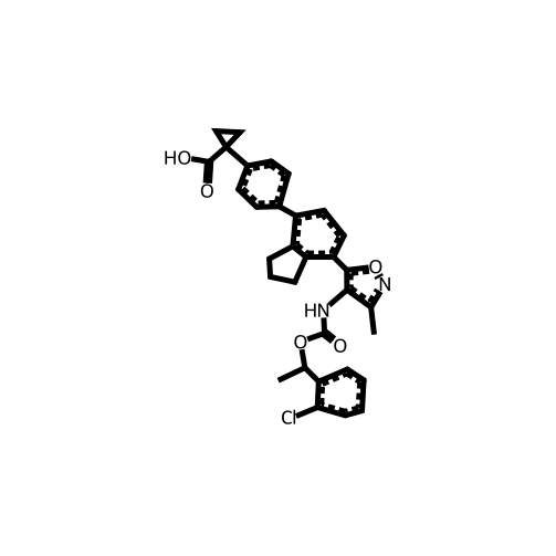 Cc1noc(-c2ccc(-c3ccc(C4(C(=O)O)CC4)cc3)c3c2CCC3)c1NC(=O)OC(C)c1ccccc1Cl